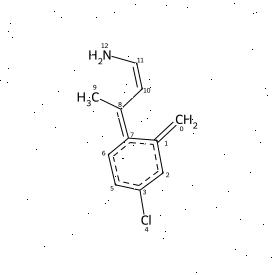 C=c1cc(Cl)cc/c1=C(C)/C=C\N